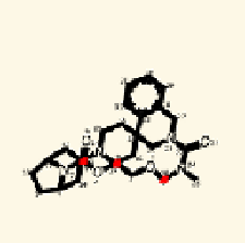 COCCOC(=O)N1C2CCC1CC(N1CCC3(CC1)CN(C(=O)N(C)C)Cc1ccccc13)C2